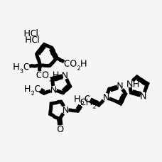 C=CN1CCCC1=O.C=Cn1ccnc1.C=Cn1ccnc1.CC1(C(=O)O)C=CC=C(C(=O)O)C1.Cl.Cl.c1c[nH]cn1